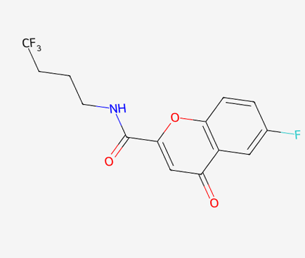 O=C(NCCCC(F)(F)F)c1cc(=O)c2cc(F)ccc2o1